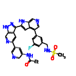 CCC(=O)Nc1cncc(-c2cc3c(-c4cc5c(-c6cc(F)cc(CNS(C)(=O)=O)c6)cncc5[nH]4)n[nH]c3cn2)c1